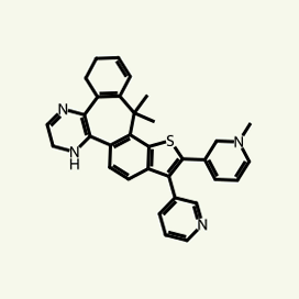 CN1C=CC=C(c2sc3c4c(ccc3c2-c2cccnc2)C2=C(N=CCN2)C2=C(C=CCC2)C4(C)C)C1